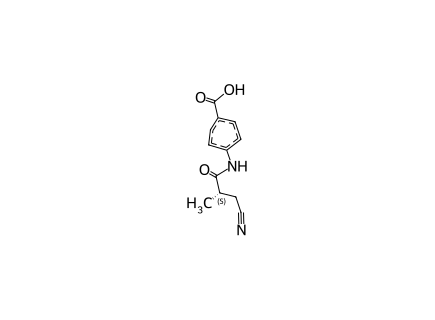 C[C@@H](CC#N)C(=O)Nc1ccc(C(=O)O)cc1